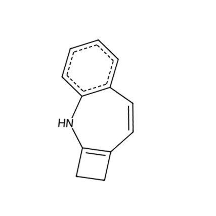 C1=Cc2ccccc2NC2=C1CC2